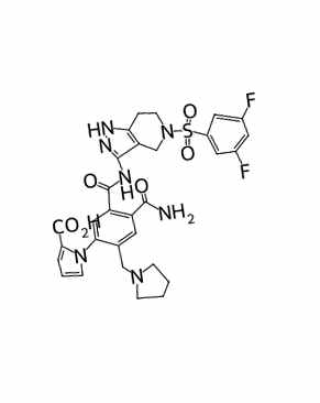 NC(=O)c1cc(CN2CCCC2)c(-n2cccc2C(=O)O)cc1C(=O)Nc1n[nH]c2c1CN(S(=O)(=O)c1cc(F)cc(F)c1)CC2